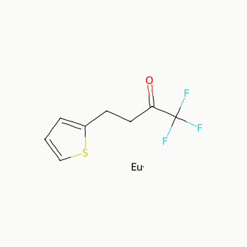 O=C(CCc1cccs1)C(F)(F)F.[Eu]